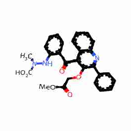 COC(=O)COc1c(-c2ccccc2)nc2ccccc2c1C(=O)c1ccccc1NN(C)C(=O)O